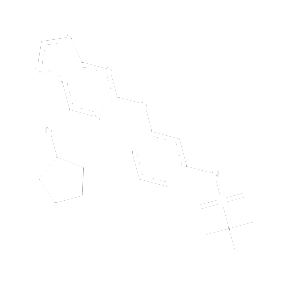 O=S(=O)(Nc1cccc(Nc2nc(NC3CCCC3)c3nc[nH]c3n2)c1)C(F)(F)F